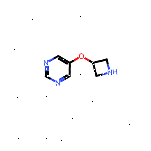 c1ncc(OC2CNC2)cn1